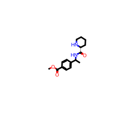 COC(=O)c1ccc(C(C)NC(=O)[C@H]2CCCCN2)cc1